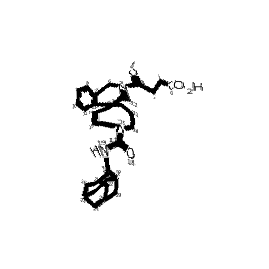 O=C(O)CCC(=O)N1Cc2ccccc2C2(CCN(C(=O)NC3C4CC5CC(C4)CC3C5)CC2)C1